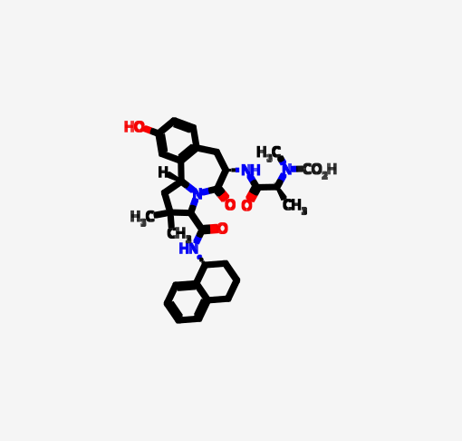 C[C@@H](C(=O)N[C@H]1Cc2ccc(O)cc2[C@H]2CC(C)(C)C(C(=O)N[C@@H]3CCCc4ccccc43)N2C1=O)N(C)C(=O)O